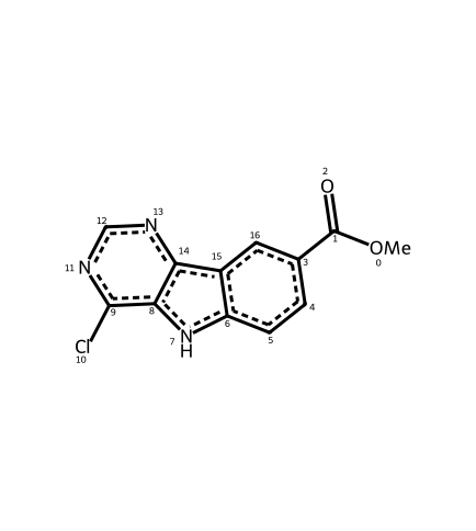 COC(=O)c1ccc2[nH]c3c(Cl)ncnc3c2c1